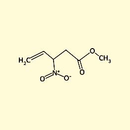 C=CC(CC(=O)OC)[N+](=O)[O-]